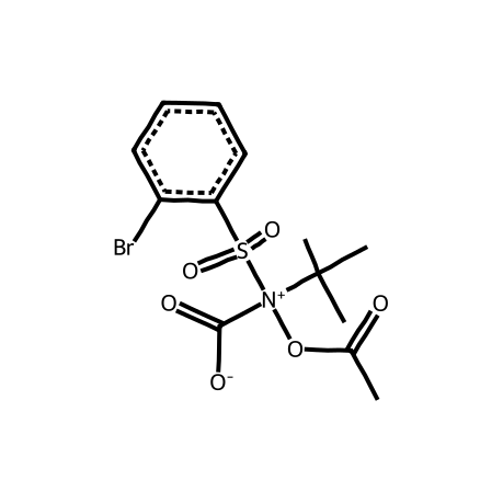 CC(=O)O[N+](C(=O)[O-])(C(C)(C)C)S(=O)(=O)c1ccccc1Br